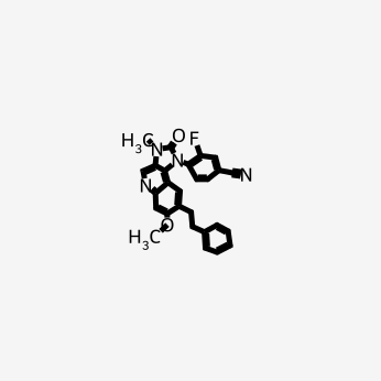 COc1cc2ncc3c(c2cc1CCc1ccccc1)n(-c1ccc(C#N)cc1F)c(=O)n3C